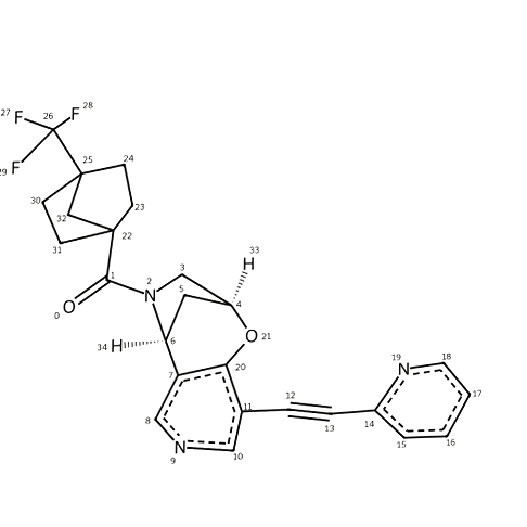 O=C(N1C[C@@H]2C[C@H]1c1cncc(C#Cc3ccccn3)c1O2)C12CCC(C(F)(F)F)(CC1)C2